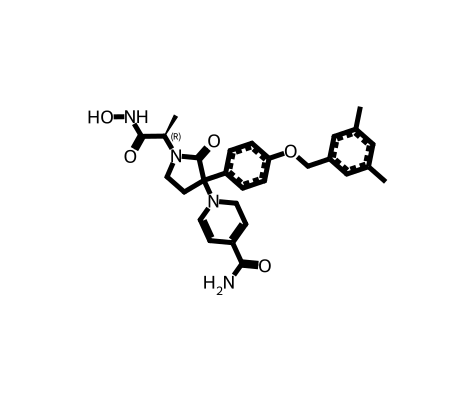 Cc1cc(C)cc(COc2ccc(C3(N4C=CC(C(N)=O)=CC4)CCN([C@H](C)C(=O)NO)C3=O)cc2)c1